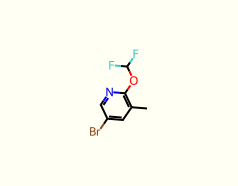 Cc1cc(Br)cnc1OC(F)F